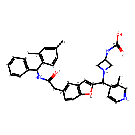 Cc1ccc([C@@H](NC(=O)Cc2ccc3oc(C(c4ccncc4C)N4CC(NC(=O)O)C4)cc3c2)c2ccccc2)c(C)c1